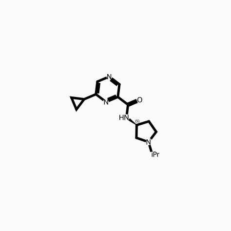 CC(C)N1CC[C@H](NC(=O)c2cncc(C3CC3)n2)C1